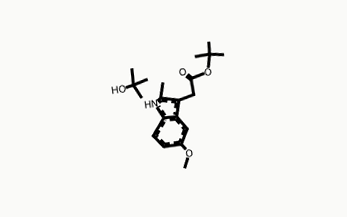 CC(C)(C)O.COc1ccc2[nH]c(C)c(CC(=O)OC(C)(C)C)c2c1